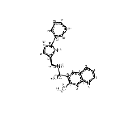 Cc1nc2ncccc2cc1C(=O)NCc1csc(-c2ccccc2)n1